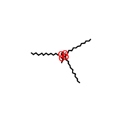 CCCCCCCCCCCCO[Si](OCC)(OCCCCCCCCCCCC)OCCCCCCCCCCCC